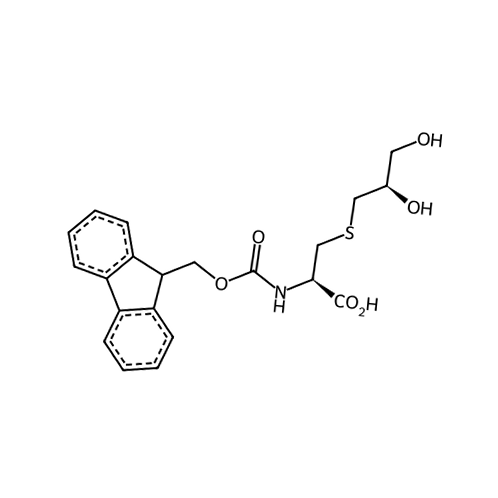 O=C(N[C@@H](CSC[C@H](O)CO)C(=O)O)OCC1c2ccccc2-c2ccccc21